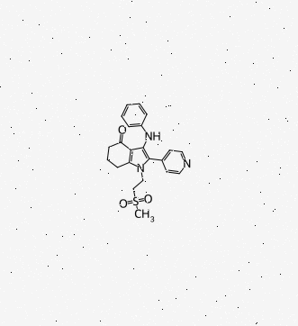 CS(=O)(=O)CCn1c2c(c(Nc3ccccc3)c1-c1ccncc1)C(=O)CCC2